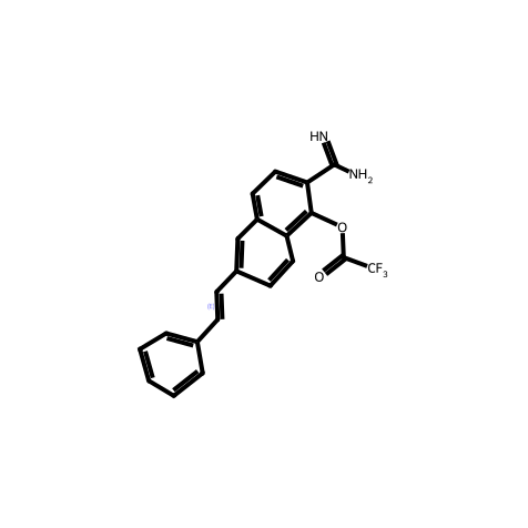 N=C(N)c1ccc2cc(/C=C/c3ccccc3)ccc2c1OC(=O)C(F)(F)F